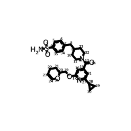 NS(=O)(=O)c1ccc(CC2CCN(C(=O)c3cc(OCC4CCC=CO4)nc(C4CC4)c3)CC2)cc1